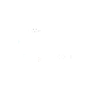 COc1cc(CCC(=O)O)c(Br)c(F)c1F